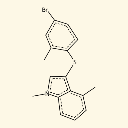 Cc1cc(Br)ccc1Sc1cn(C)c2cccc(C)c12